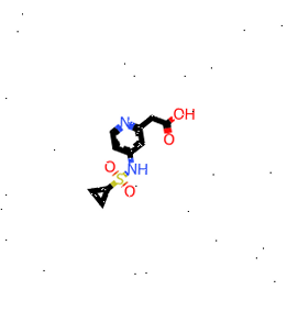 O=C(O)Cc1cc(NS(=O)(=O)C2CC2)ccn1